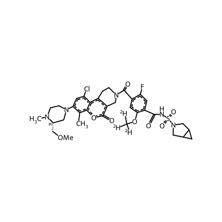 [2H]C([2H])([2H])Oc1cc(C(=O)N2CCc3c(c(=O)oc4c(C)c(N5CCN(C)[C@@H](COC)C5)cc(Cl)c34)C2)c(F)cc1C(=O)NS(=O)(=O)N1CC2CC2C1